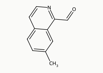 Cc1ccc2ccnc(C=O)c2c1